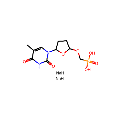 Cc1cn(C2CCC(OCP(=O)(O)O)O2)c(=O)[nH]c1=O.[NaH].[NaH]